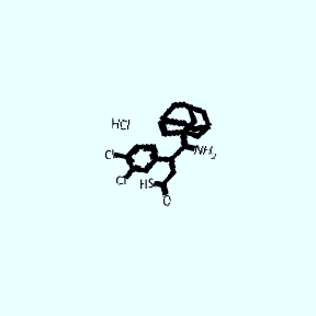 Cl.NC(C(CC(=O)S)c1ccc(Cl)c(Cl)c1)C12CC3CC(CC(C3)C1)C2